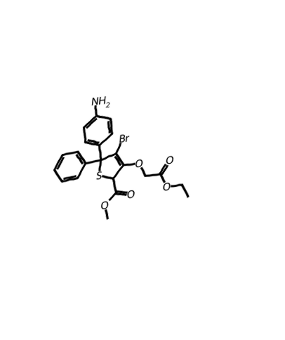 CCOC(=O)COC1=C(Br)C(c2ccccc2)(c2ccc(N)cc2)SC1C(=O)OC